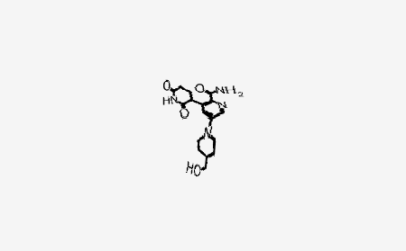 NC(=O)c1ncc(N2CCC(CO)CC2)cc1C1CCC(=O)NC1=O